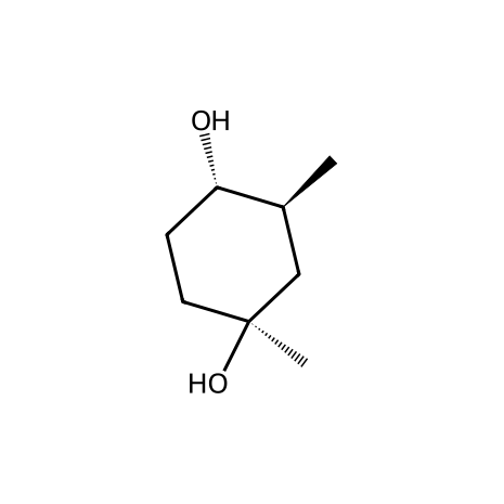 C[C@H]1C[C@@](C)(O)CC[C@@H]1O